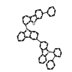 c1ccc(-c2ccc3c(c2)oc2c(-n4c5ccccc5c5cc(-c6ccc7c(c6)c6ccccc6n7-c6ccccc6-c6ccccc6)ccc54)cccc23)cc1